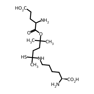 CC(S)(CCC(C)(C)OC(=O)C(N)CCC(=O)O)NCCCC[C@H](N)C(=O)O